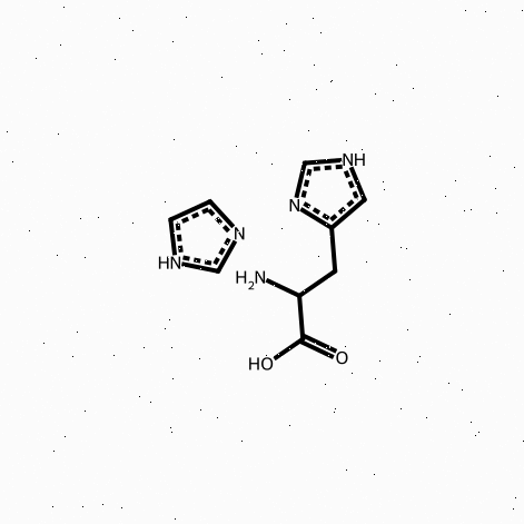 NC(Cc1c[nH]cn1)C(=O)O.c1c[nH]cn1